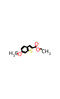 CCOC(=O)c1cc2ccc(OC)cc2s1